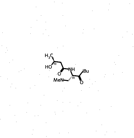 CCC(C)C(=O)[C@H](CNC)NC(=O)C[C@H](C)O